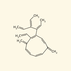 C=CC(=C/C)/C(=C\C)c1ccc(=C)ccccc(=C)c1C=C